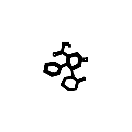 Cl.NC(=O)c1cccc(N2CCCCC2=O)c1-c1ccccc1